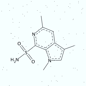 Cc1cc2c(C)cn(C)c2c(S(N)(=O)=O)n1